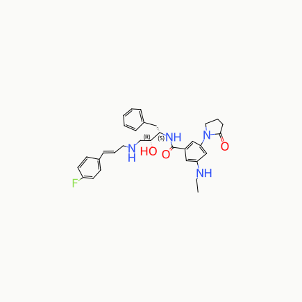 CCNc1cc(C(=O)N[C@@H](Cc2ccccc2)[C@H](O)CNCC=Cc2ccc(F)cc2)cc(N2CCCC2=O)c1